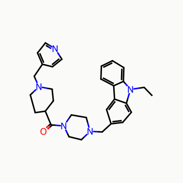 CCn1c2ccccc2c2cc(CN3CCN(C(=O)C4CCN(Cc5ccncc5)CC4)CC3)ccc21